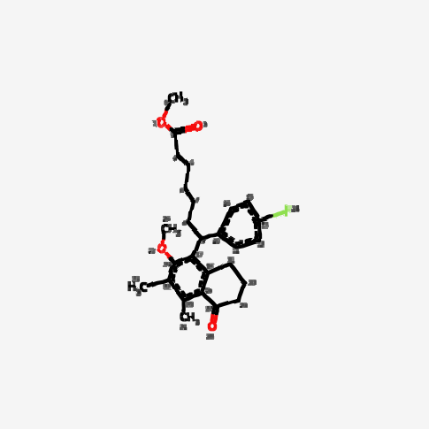 COC(=O)CCCCCC(c1ccc(F)cc1)c1c2c(c(C)c(C)c1OC)C(=O)CCC2